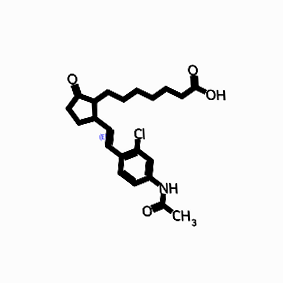 CC(=O)Nc1ccc(/C=C/C2CCC(=O)C2CCCCCCC(=O)O)c(Cl)c1